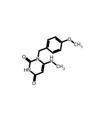 CNc1cc(=O)[nH]c(=O)n1Cc1ccc(OC)cc1